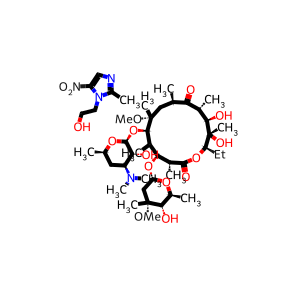 CC[C@H]1OC(=O)[C@H](C)[C@@H](O[C@H]2C[C@@](C)(OC)[C@@H](O)[C@H](C)O2)C(C)[C@@H](O[C@@H]2O[C@H](C)C[C@H](N(C)C)[C@H]2O)[C@](C)(OC)C[C@@H](C)C(=O)[C@H](C)[C@@H](O)[C@]1(C)O.Cc1ncc([N+](=O)[O-])n1CCO